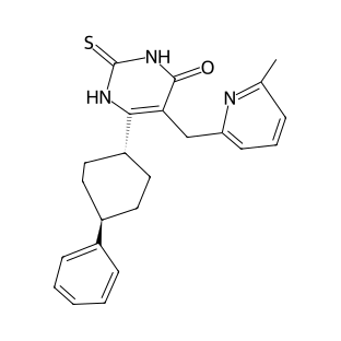 Cc1cccc(Cc2c(=O)[nH]c(=S)[nH]c2[C@H]2CC[C@H](c3ccccc3)CC2)n1